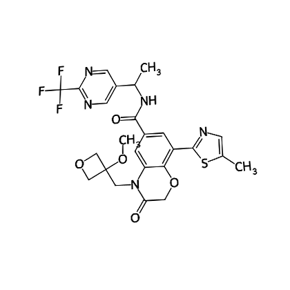 COC1(CN2C(=O)COc3c(-c4ncc(C)s4)cc(C(=O)NC(C)c4cnc(C(F)(F)F)nc4)cc32)COC1